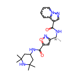 C[C@@H](NC(=O)c1cnn2ccccc12)c1cc(C(=O)NC2CC(C)(C)NC(C)(C)C2)on1